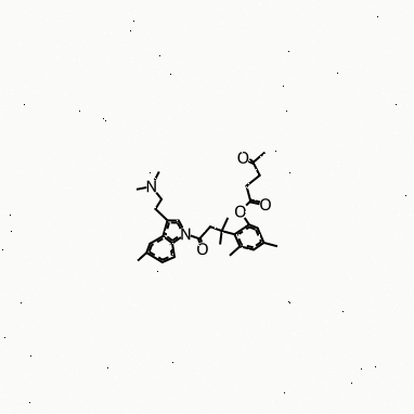 CC(=O)CCC(=O)Oc1cc(C)cc(C)c1C(C)(C)CC(=O)n1cc(CCN(C)C)c2cc(C)ccc21